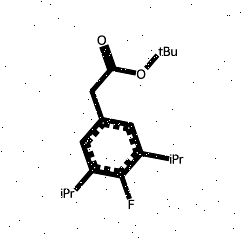 CC(C)c1cc(CC(=O)OC(C)(C)C)cc(C(C)C)c1F